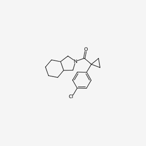 O=C(N1CC2CCCCC2C1)C1(c2ccc(Cl)cc2)CC1